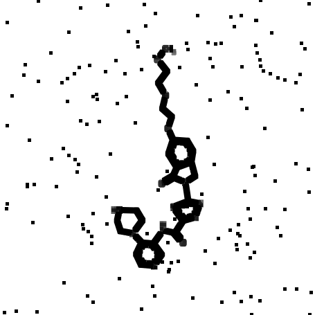 COCCOCCOc1ccc2c(c1)C(=O)N(c1nnc(C(=O)Nc3cnccc3N3CCNCC3)s1)C2